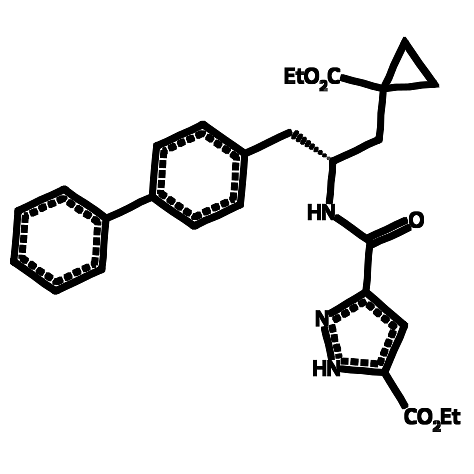 CCOC(=O)c1cc(C(=O)N[C@H](Cc2ccc(-c3ccccc3)cc2)CC2(C(=O)OCC)CC2)n[nH]1